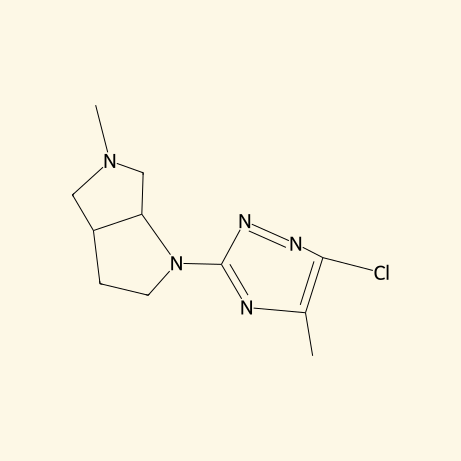 Cc1nc(N2CCC3CN(C)CC32)nnc1Cl